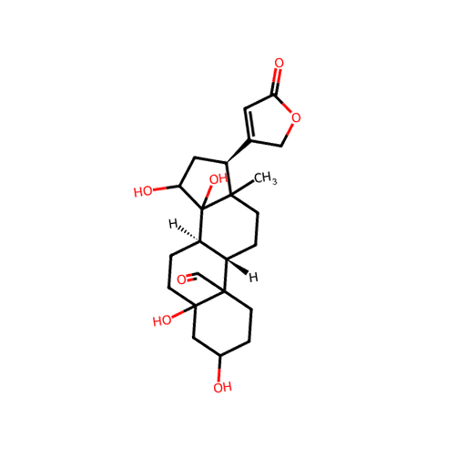 CC12CC[C@H]3[C@@H](CCC4(O)CC(O)CCC34C=O)C1(O)C(O)C[C@H]2C1=CC(=O)OC1